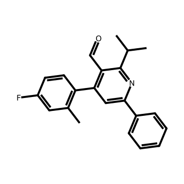 Cc1cc(F)ccc1-c1cc(-c2ccccc2)nc(C(C)C)c1C=O